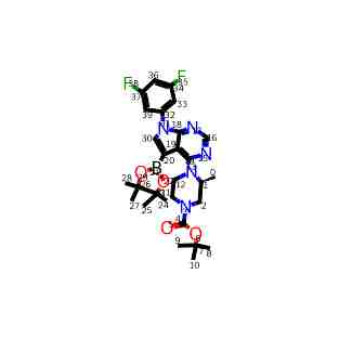 C[C@H]1CN(C(=O)OC(C)(C)C)CCN1c1ncnc2c1c(B1OC(C)(C)C(C)(C)O1)cn2-c1cc(F)cc(F)c1